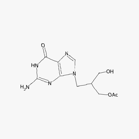 CC(=O)OCC(CO)Cn1cnc2c(=O)[nH]c(N)nc21